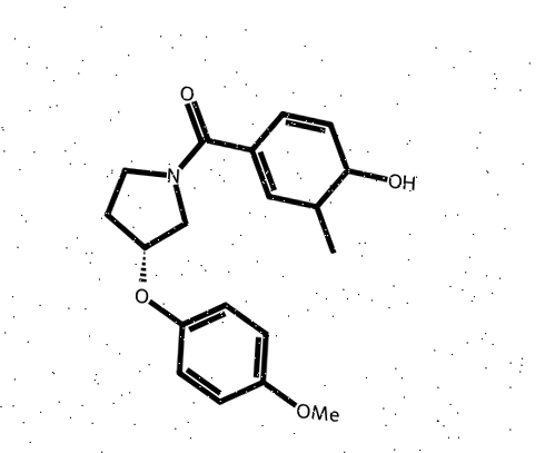 COc1ccc(O[C@@H]2CCN(C(=O)C3=CC(C)C(O)C=C3)C2)cc1